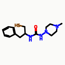 CN1CCN(NC(=O)NC(CS)Cc2ccccc2)CC1